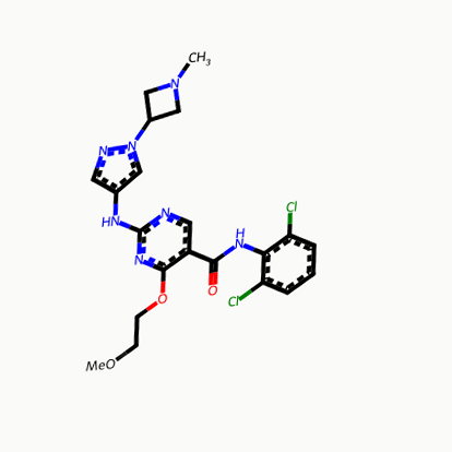 COCCOc1nc(Nc2cnn(C3CN(C)C3)c2)ncc1C(=O)Nc1c(Cl)cccc1Cl